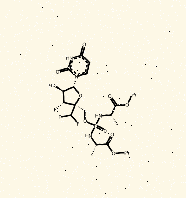 CC(C)OC(=O)[C@H](C)NP(=O)(N[C@@H](C)C(=O)OC(C)C)OC[C@@]1(C(F)F)O[C@@H](n2ccc(=O)[nH]c2=O)[C@H](O)[C@H]1F